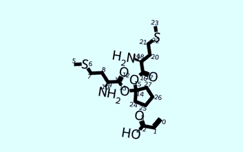 C=CC(=O)O.CSCC[C@H](N)C(=O)OC1(OC(=O)[C@@H](N)CCSC)CCCC1